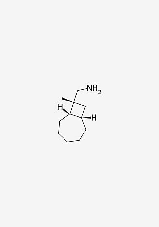 C[C@@]1(CN)C[C@@H]2CCCCC[C@@H]21